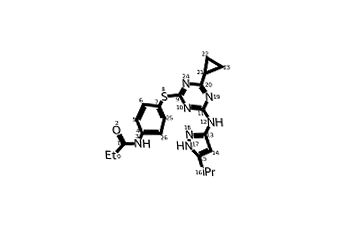 CCC(=O)Nc1ccc(Sc2nc(Nc3cc(C(C)C)[nH]n3)nc(C3CC3)n2)cc1